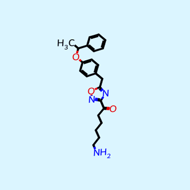 CC(Oc1ccc(Cc2nc(C(=O)CCCCCN)no2)cc1)c1ccccc1